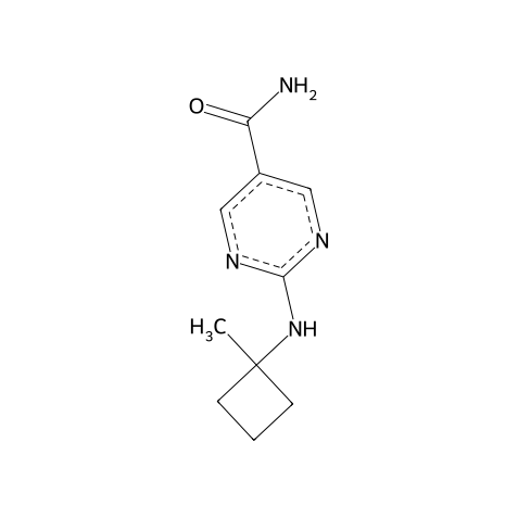 CC1(Nc2ncc(C(N)=O)cn2)CCC1